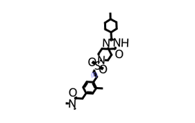 Cc1cc(CC(=O)N(C)C)ccc1/C=C/S(=O)(=O)N1CCC2(CC1)N=C(C1CCC(C)CC1)NC2=O